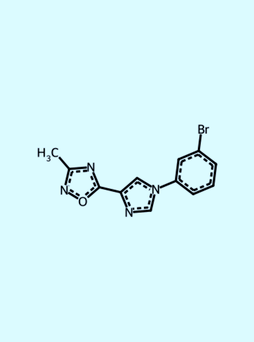 Cc1noc(-c2cn(-c3cccc(Br)c3)cn2)n1